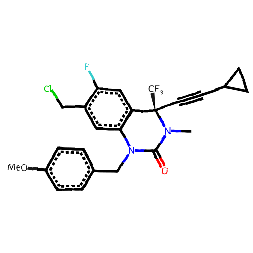 COc1ccc(CN2C(=O)N(C)[C@](C#CC3CC3)(C(F)(F)F)c3cc(F)c(CCl)cc32)cc1